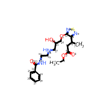 CCOC(=O)CC(C)c1nsnc1OCC(O)CNCCNC(=O)c1ccccc1